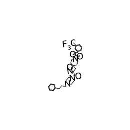 O=C(C1=NOC2(CCN(S(=O)(=O)c3cccc(C(F)(F)F)c3)CC2)C1)N1CCN(CCCc2ccccc2)CC1